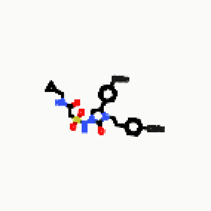 COc1ccc(CCN2C(=O)N(NS(=O)(=O)CC(=O)NCC3CC3)CC2c2ccc(OC)cc2)cc1